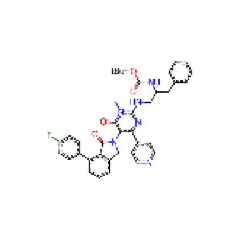 Cn1c(NCC(Cc2ccccc2)NC(=O)OC(C)(C)C)nc(-c2ccncc2)c(N2Cc3cccc(-c4ccc(F)cc4)c3C2=O)c1=O